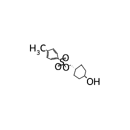 Cc1ccc(S(=O)(=O)OC[C@H]2CC[C@H](O)CC2)cc1